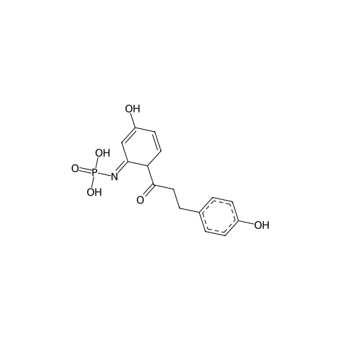 O=C(CCc1ccc(O)cc1)C1C=CC(O)=C/C1=N\P(=O)(O)O